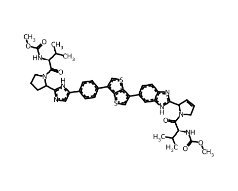 COC(=O)N[C@H](C(=O)N1CC=CC1c1nc2ccc(-c3csc4c(-c5ccc(-c6cnc(C7CCCN7C(=O)[C@@H](NC(=O)OC)C(C)C)[nH]6)cc5)csc34)cc2[nH]1)C(C)C